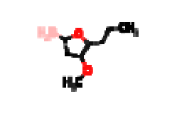 BC1CC(OC)C(CCC)O1